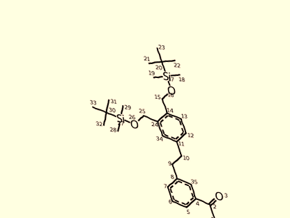 CCC(=O)c1cccc(CCc2ccc(CO[Si](C)(C)C(C)(C)C)c(CO[Si](C)(C)C(C)(C)C)c2)c1